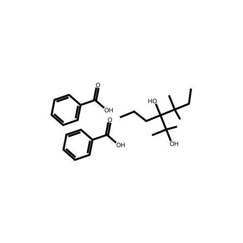 CCCC(O)(C(C)(C)O)C(C)(C)CC.O=C(O)c1ccccc1.O=C(O)c1ccccc1